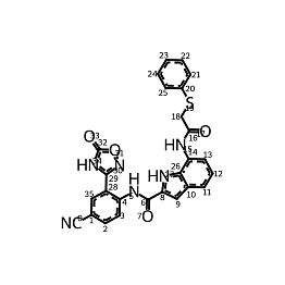 N#Cc1ccc(NC(=O)c2cc3cccc(NC(=O)CSc4ccccc4)c3[nH]2)c(-c2noc(=O)[nH]2)c1